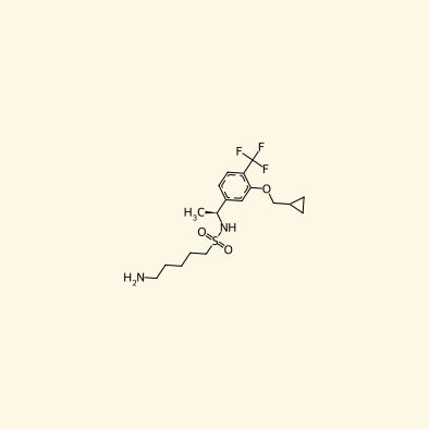 C[C@H](NS(=O)(=O)CCCCCN)c1ccc(C(F)(F)F)c(OCC2CC2)c1